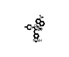 CC1CCN(C(=O)C(Cc2ccc3[nH]cnc3c2)NS(=O)(=O)c2cccc3c(N(C)C)cccc23)CC1